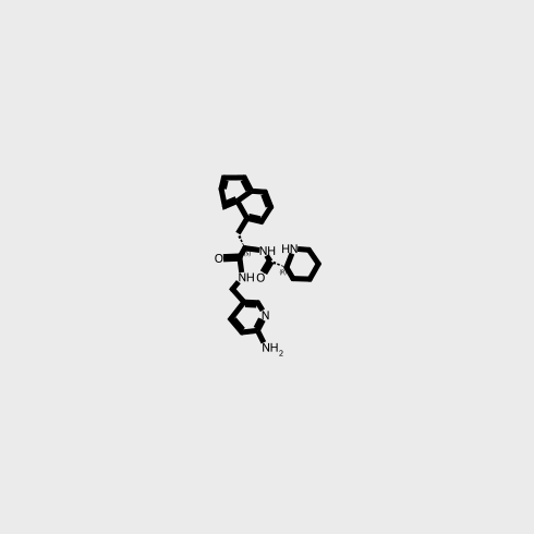 Nc1ccc(CNC(=O)[C@H](Cc2cccc3ccccc23)NC(=O)[C@H]2CCCCN2)cn1